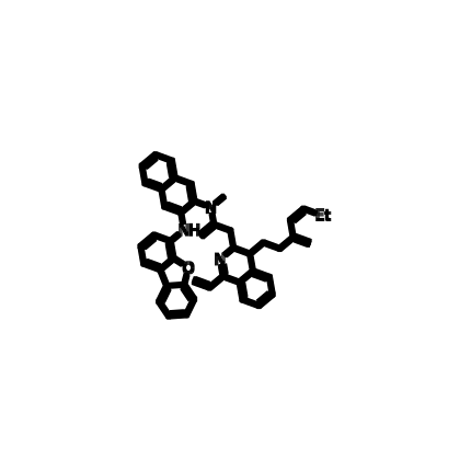 C=CC1=NC(CC(=C)N(C)c2cc3ccccc3cc2Nc2cccc3c2oc2ccccc23)C(CCC(=C)/C=C\CC)c2ccccc21